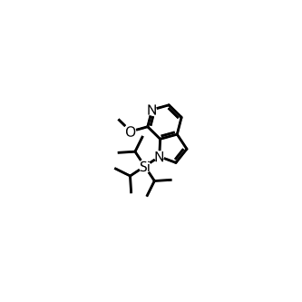 COc1nccc2ccn([Si](C(C)C)(C(C)C)C(C)C)c12